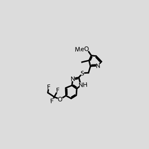 COc1ccnc(CSc2nc3cc(OC(F)(F)CF)ccc3[nH]2)c1C